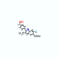 COc1cc2cc(C)c(-c3ccc(CO)cc3)nc2cc1F